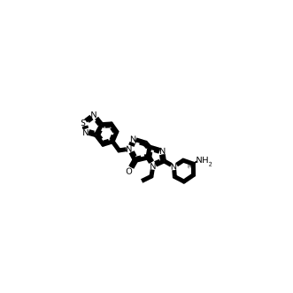 CCn1c(N2CCC[C@@H](N)C2)nc2cnn(Cc3ccc4nsnc4c3)c(=O)c21